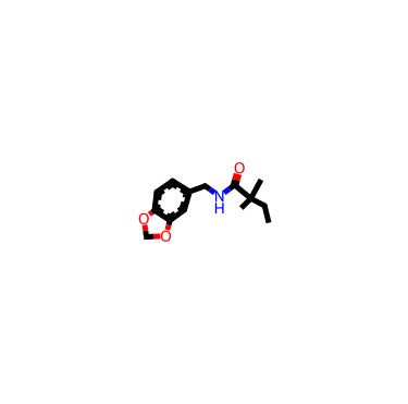 CCC(C)(C)C(=O)NCc1ccc2c(c1)OCO2